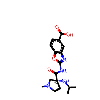 CC(C)N[C@@]1(C(=O)Nc2nc3cc(C(=O)O)ccc3o2)CCN(C)C1